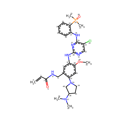 C=CC(=O)NCc1cc(Nc2ncc(Cl)c(Nc3ccccc3P(C)(C)=O)n2)c(OC)cc1N1CCC(N(C)C)C1